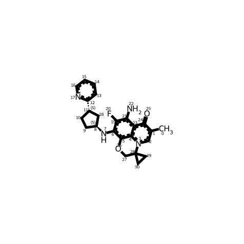 Cc1cn2c3c(c(N[C@H]4CC[C@H](c5ccccn5)C4)c(F)c(N)c3c1=O)OCC21CC1